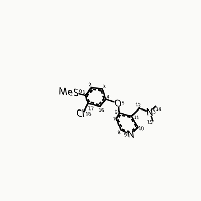 CSc1ccc(Oc2ccncc2CN(C)C)cc1Cl